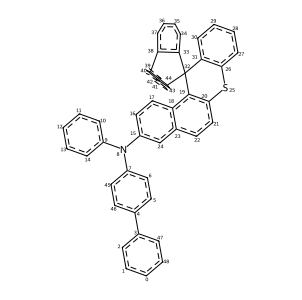 c1ccc(-c2ccc(N(c3ccccc3)c3ccc4c5c(ccc4c3)Sc3ccccc3C53c4ccccc4-c4ccccc43)cc2)cc1